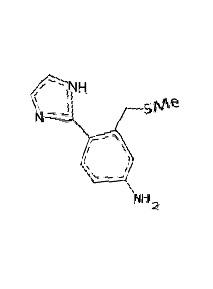 CSCc1cc(N)ccc1-c1ncc[nH]1